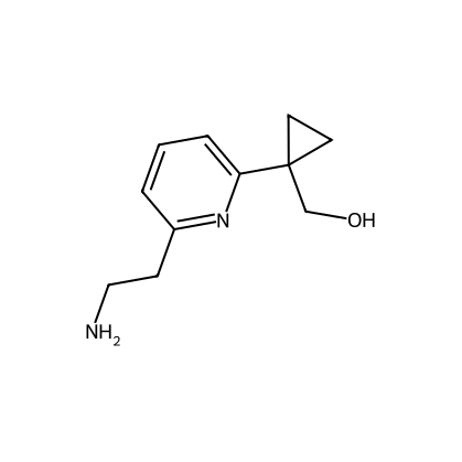 NCCc1cccc(C2(CO)CC2)n1